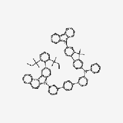 CCC(C)(C)c1cccc(C(C)(C)CC)c1-c1ccc2c(c1)c1c3ccccc3ccc1n2-c1cccc(-c2ccc(-c3cccc(N(c4ccccc4)c4ccc5c(c4)C(C)(C)c4cc(-n6c7ccccc7c7ccccc76)ccc4-5)c3)cc2)c1